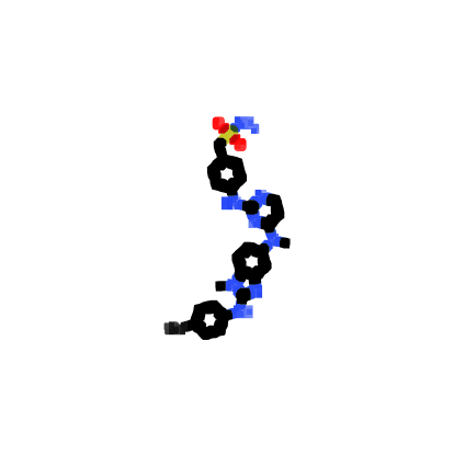 CN(c1ccc2c(c1)nc(Nc1ccc(C(C)(C)C)cc1)n2C)c1ccnc(Nc2ccc(CS(N)(=O)=O)cc2)n1